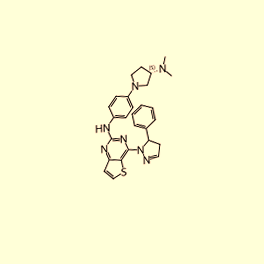 CN(C)[C@H]1CCN(c2ccc(Nc3nc(N4N=CCC4c4ccccc4)c4sccc4n3)cc2)C1